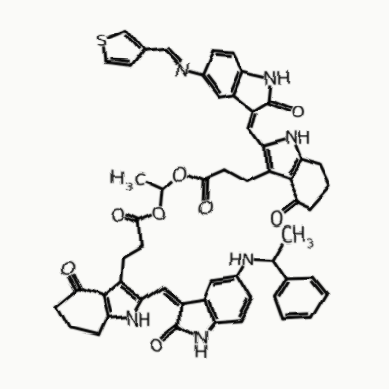 CC(OC(=O)CCc1c(C=C2C(=O)Nc3ccc(N=Cc4ccsc4)cc32)[nH]c2c1C(=O)CCC2)OC(=O)CCc1c(C=C2C(=O)Nc3ccc(NC(C)c4ccccc4)cc32)[nH]c2c1C(=O)CCC2